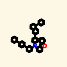 c1ccc(-c2ccc(-c3cccc(N(c4ccc(-c5ccc6c(-c7ccccc7)cccc6c5)cc4)c4cccc5oc6ccccc6c45)c3)cc2)cc1